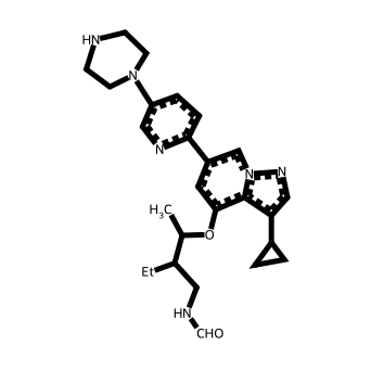 CCC(CNC=O)C(C)Oc1cc(-c2ccc(N3CCNCC3)cn2)cn2ncc(C3CC3)c12